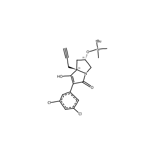 C#CC[C@@]12C[C@H](O[Si](C)(C)C(C)(C)C)CN1C(=O)C(c1cc(Cl)cc(Cl)c1)=C2O